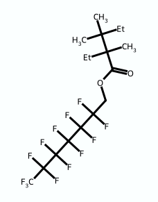 CCC(C)(C)C(C)(CC)C(=O)OCC(F)(F)C(F)(F)C(F)(F)C(F)(F)C(F)(F)C(F)(F)F